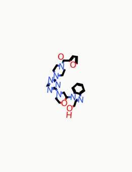 O=C(c1ccco1)N1CCN(c2ncnc(N3CCOC(n4c(CO)nc5ccccc54)C3)n2)CC1